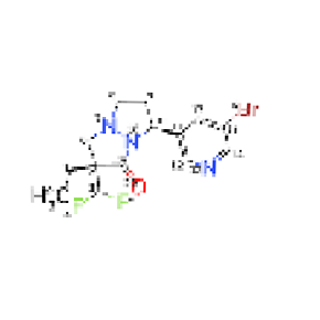 CC[C@@]1(C(F)F)CN2CC[C@@H](c3cncc(Br)c3)N2C1=O